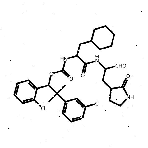 CC(C)(c1cccc(Cl)c1)C(OC(=O)NC(CC1CCCCC1)C(=O)NC(C=O)CC1CCNC1=O)c1ccccc1Cl